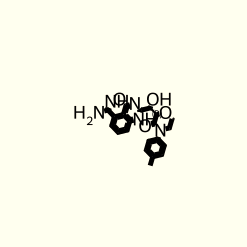 Cc1ccc(N2CCO[C@H](C(O)c3nc(=O)c4c(C(=N)N)cccc4[nH]3)C2=O)cc1